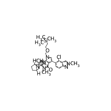 Cn1cc2c(Cl)c(-c3cn(COCC[Si](C)(C)C)c4nc(N5[C@H]6CC[C@@H]5C(C)(C)C6)n(C)c(=O)c34)ccc2n1